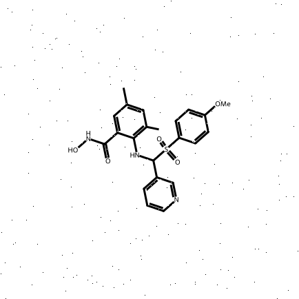 COc1ccc(S(=O)(=O)C(Nc2c(C)cc(C)cc2C(=O)NO)c2cccnc2)cc1